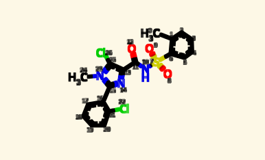 Cc1ccccc1S(=O)(=O)NC(=O)c1nc(-c2ccccc2Cl)n(C)c1Cl